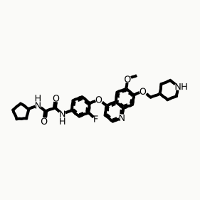 COc1cc2c(Oc3ccc(NC(=O)C(=O)NC4CCCC4)cc3F)ccnc2cc1OCC1CCNCC1